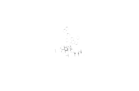 CC(C)(C)c1ccc(N(c2ccc(C(C)(C)C)cc2)c2ccc3c(c2)c2ccccc2c2c(-c4ccccc4)cc(-c4ccc(-c5cccc6ccccc56)cc4)c(-c4ccccc4)c32)cc1